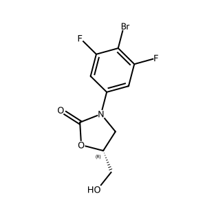 O=C1O[C@@H](CO)CN1c1cc(F)c(Br)c(F)c1